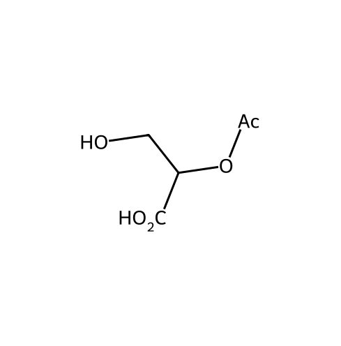 CC(=O)OC(CO)C(=O)O